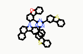 c1ccc2cc3c(cc2c1)c1c2ccccc2ccc1n3-c1ccc2oc3ccccc3c2c1-c1nc(-c2ccc3sc4ccccc4c3c2)nc(-c2ccc3sc4ccccc4c3c2)n1